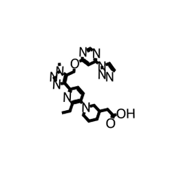 CCc1nc(-c2nnn(C)c2COc2cc(-n3ccnn3)ncn2)ccc1N1CCCC(CC(=O)O)C1